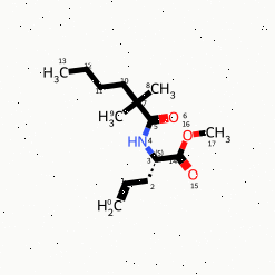 C=CC[C@H](NC(=O)C(C)(C)CCCC)C(=O)OC